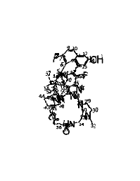 CC(C)[Si](C#Cc1c(F)ccc2cc(O)cc(-c3ncc4c5nc(nc4c3F)N3CCN(C)C(CNC(=O)CCOCC46CCC(CN5C4)N6)C3)c12)(C(C)C)C(C)C